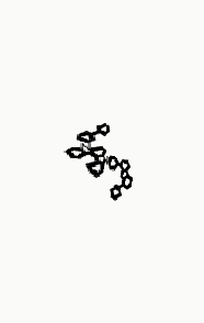 c1ccc(-c2cccc(-n3c4ccccc4c4c5c6ccccc6n(-c6ccc(-c7cccc8c7Cc7c(-c9ccccc9)cccc7-8)cc6)c5ccc43)c2)cc1